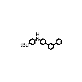 CC(C)(C)c1ccc(Nc2ccc(-c3cccc(-c4ccccc4)c3)cc2)cc1